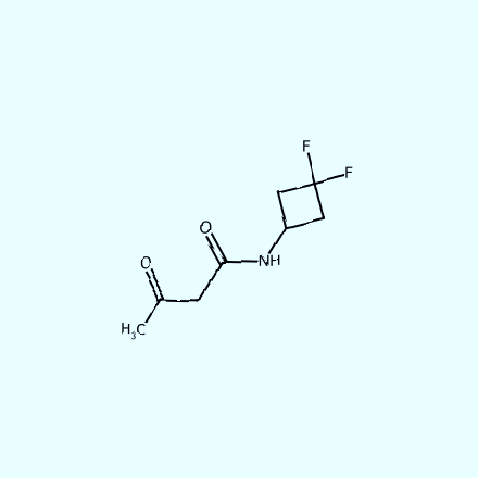 CC(=O)CC(=O)NC1CC(F)(F)C1